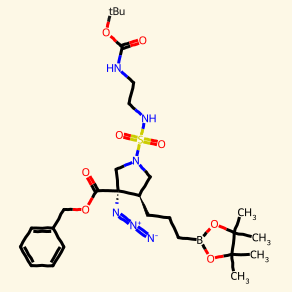 CC(C)(C)OC(=O)NCCNS(=O)(=O)N1C[C@@H](CCCB2OC(C)(C)C(C)(C)O2)[C@@](N=[N+]=[N-])(C(=O)OCc2ccccc2)C1